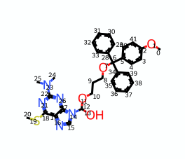 COc1ccc(C(OCCCOC(O)n2cnc3c(SC)nc(N(C)C)nc32)(c2ccccc2)c2ccccc2)cc1